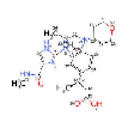 CNC(=O)c1c[nH]c(Nc2cc([C@H](C)CC(=O)O)ccc2N(CC(C)C)C2CCOCC2)n1